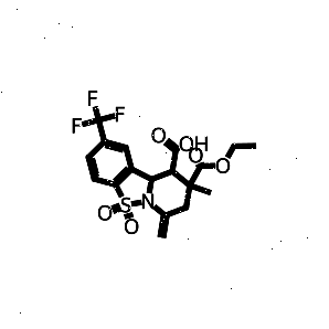 C=C1CC(C)(C(=O)OCC)C(C(=O)O)C2c3cc(C(F)(F)F)ccc3S(=O)(=O)N12